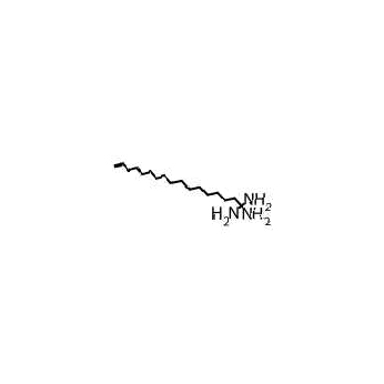 C=CCCCCCCCCCCCCCCC(N)(N)N